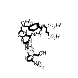 CN(Cc1cnc2nc(N)nc(N)c2n1)c1ccc(C(=O)N[C@@H](CCC(=O)O)C(=O)O)cc1.Cc1ncc([N+](=O)[O-])n1CCO